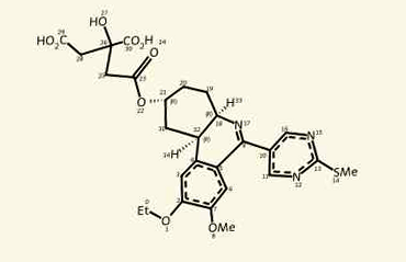 CCOc1cc2c(cc1OC)C(c1cnc(SC)nc1)=N[C@@H]1CC[C@@H](OC(=O)CC(O)(CC(=O)O)C(=O)O)C[C@H]21